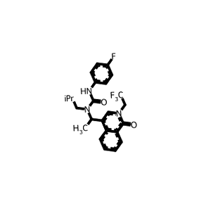 CC(C)CN(C(=O)Nc1ccc(F)cc1)C(C)c1cn(CC(F)(F)F)c(=O)c2ccccc12